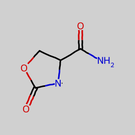 NC(=O)C1COC(=O)[N]1